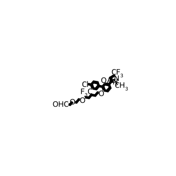 CC(=O)Oc1c(-c2cc(C(F)(F)F)nn2C)ccc(OCCCCCOCCOCC=O)c1-c1ccc(Cl)c(C(F)(F)F)c1